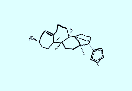 C[C@]12CC[C@H]3[C@@H](CCC4=C[C@@H](O)CC[C@@]43C)[C@@H]1CC[C@@H]2c1ccoc1